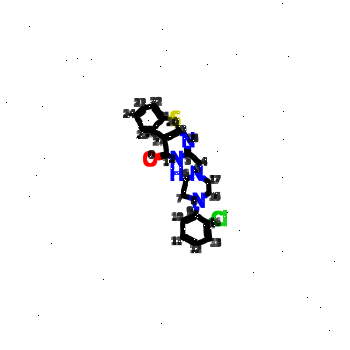 O=c1[nH]c(CN2CCN(c3ccccc3Cl)CC2)nc2sc3ccccc3c12